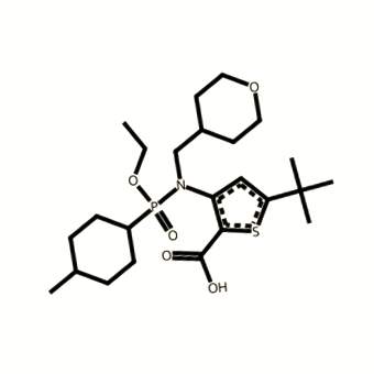 CCOP(=O)(C1CCC(C)CC1)N(CC1CCOCC1)c1cc(C(C)(C)C)sc1C(=O)O